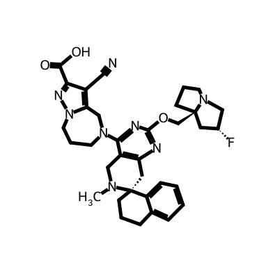 CN1Cc2c(nc(OC[C@@]34CCCN3C[C@H](F)C4)nc2N2CCCn3nc(C(=O)O)c(C#N)c3C2)C[C@]12CCCc1ccccc12